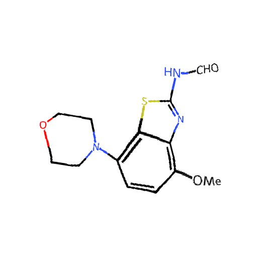 COc1ccc(N2CCOCC2)c2sc(NC=O)nc12